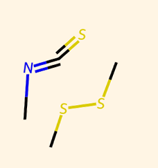 CN=C=S.CSSC